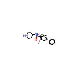 CC[C@]12CC3CC1(C(=O)NC1CCNCC1)C[C@@](c1ccccc1)(C3)C2